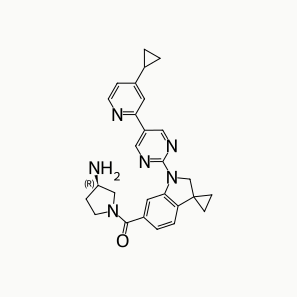 N[C@@H]1CCN(C(=O)c2ccc3c(c2)N(c2ncc(-c4cc(C5CC5)ccn4)cn2)CC32CC2)C1